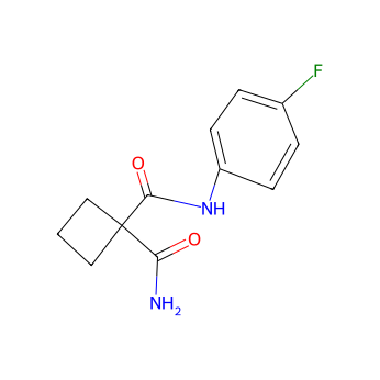 NC(=O)C1(C(=O)Nc2ccc(F)cc2)CCC1